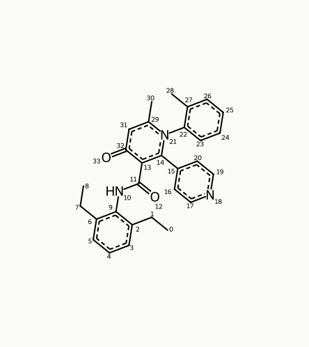 CCc1cccc(CC)c1NC(=O)c1c(-c2ccncc2)n(-c2ccccc2C)c(C)cc1=O